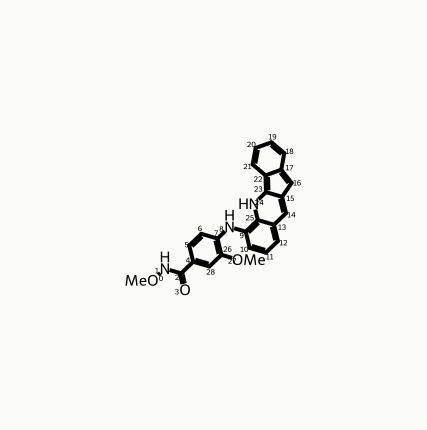 CONC(=O)c1ccc(Nc2cccc3cc4cc5ccccc5c-4[nH]c23)c(OC)c1